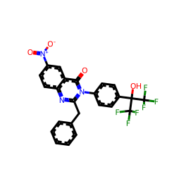 O=c1c2cc([N+](=O)[O-])ccc2nc(Cc2ccccc2)n1-c1ccc(C(O)(C(F)(F)F)C(F)(F)F)cc1